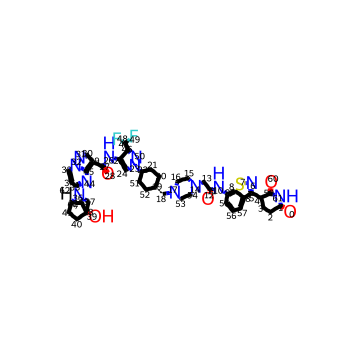 O=C1CCC(c2nsc3c(NC(=O)CN4CCN(C[C@H]5CC[C@H](n6cc(NC(=O)c7cnn8ccc(N9CC%10(O)CC[C@@H]9C%10)nc78)c(C(F)F)n6)CC5)CC4)cccc23)C(=O)N1